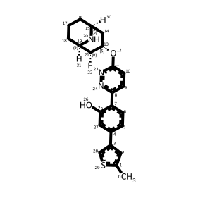 Cc1cc(-c2ccc(-c3ccc(O[C@H]4C[C@@H]5CCC[C@@H](N5)[C@H]4F)nn3)c(O)c2)cs1